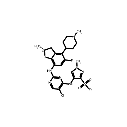 CC(C)S(=O)(=O)c1nn(C)cc1Nc1nc(Nc2cc(F)c(C3CCN(C)CC3)c3c2O[C@H](C)C3)ncc1Cl